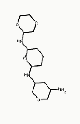 NC1COCC(NC2CCCC(NC3COCCO3)O2)C1